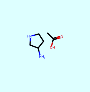 CC(=O)O.NC1CCNC1